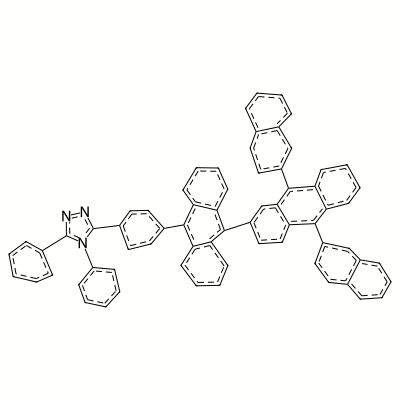 c1ccc(-c2nnc(-c3ccc(-c4c5ccccc5c(-c5ccc6c(-c7ccc8ccccc8c7)c7ccccc7c(-c7ccc8ccccc8c7)c6c5)c5ccccc45)cc3)n2-c2ccccc2)cc1